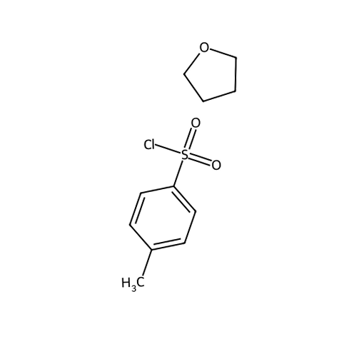 C1CCOC1.Cc1ccc(S(=O)(=O)Cl)cc1